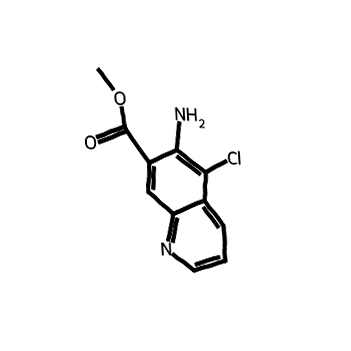 COC(=O)c1cc2ncccc2c(Cl)c1N